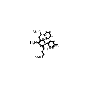 COCCNC1=NC(N)=C(CCOC)C(N2CCCCC2)N1c1ccc(C)cc1